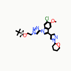 COc1cc2c(-c3cnn(C4CCCCO4)c3)cn(-c3cn(CCO[Si](C)(C)C(C)(C)C)nn3)c2cc1Cl